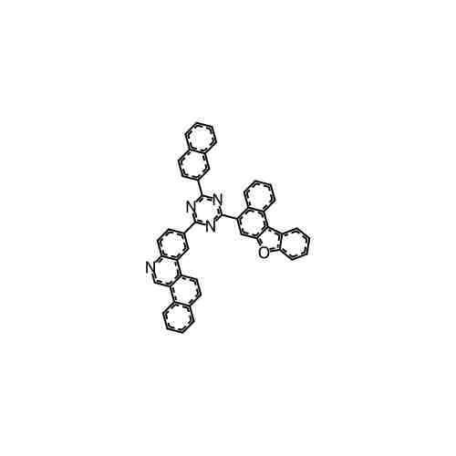 c1ccc2cc(-c3nc(-c4ccc5ncc6c7ccccc7ccc6c5c4)nc(-c4cc5oc6ccccc6c5c5ccccc45)n3)ccc2c1